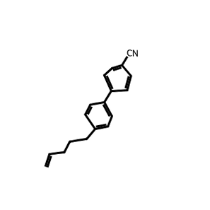 C=CCCCc1ccc(-c2ccc(C#N)cc2)cc1